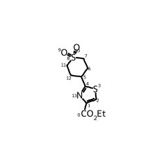 CCOC(=O)c1csc(C2CCS(=O)(=O)CC2)n1